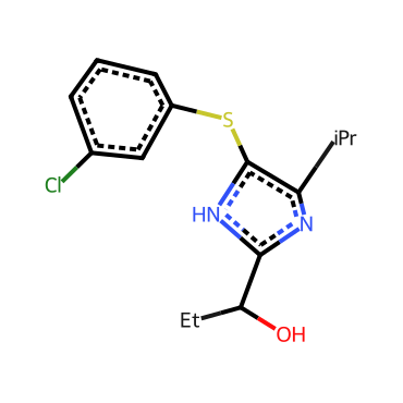 CCC(O)c1nc(C(C)C)c(Sc2cccc(Cl)c2)[nH]1